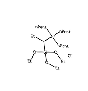 CCCCC[N+](CCCCC)(CCCCC)C(CC)[Si](OCC)(OCC)OCC.[Cl-]